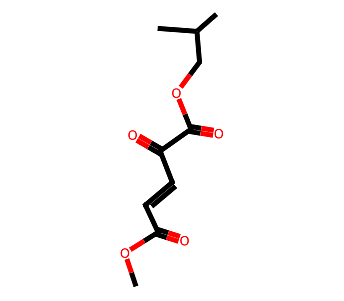 COC(=O)/C=C/C(=O)C(=O)OCC(C)C